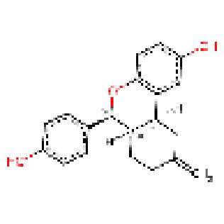 C=C1CC[C@@H]2[C@H](C1)c1cc(O)ccc1O[C@@H]2c1ccc(O)cc1